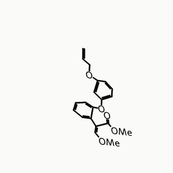 C=CCOc1cccc(Oc2ccccc2C(=COC)C(=O)OC)c1